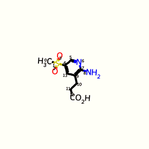 CS(=O)(=O)c1cnc(N)c(CCC(=O)O)c1